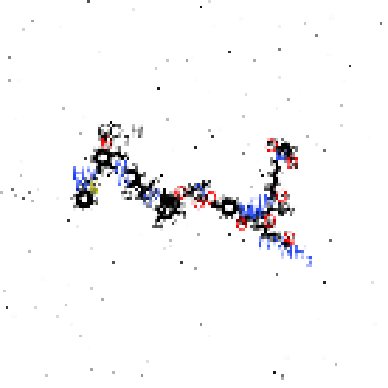 Cc1c(-c2ccc(N3CCc4c(OCC(=O)O)ccc(CNc5nc6ccccc6s5)c4C3)nc2C(=O)O)cnn1CC12CC3(C)CC(C)(C1)CC(OCCN(C)C(=O)OCc1ccc(NC(=O)[C@H](CCCCNC(N)=O)NC(=O)[C@@H](NC(=O)CCCCCN4C(=O)C=CC4=O)C(C)C)cc1)(C3)C2